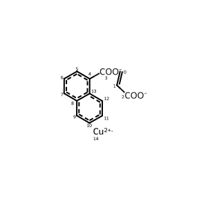 C=CC(=O)[O-].O=C([O-])c1cccc2ccccc12.[Cu+2]